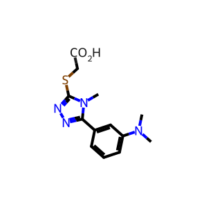 CN(C)c1cccc(-c2nnc(SCC(=O)O)n2C)c1